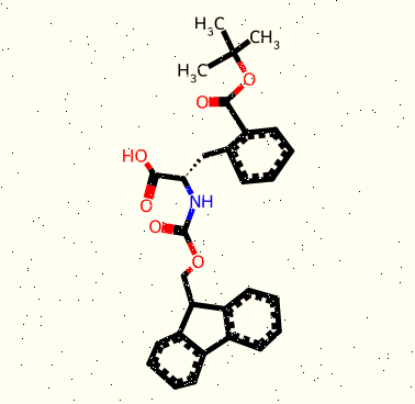 CC(C)(C)OC(=O)c1ccccc1C[C@H](NC(=O)OCC1c2ccccc2-c2ccccc21)C(=O)O